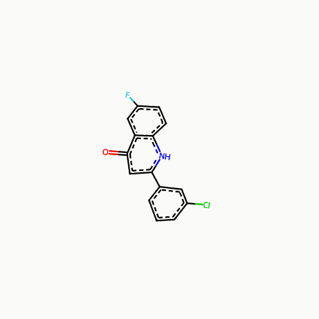 O=c1cc(-c2cccc(Cl)c2)[nH]c2ccc(F)cc12